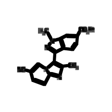 CCOC(=O)c1ccc2c(-c3c(C)nc4ccc(C#N)cn34)nn(C)c2c1